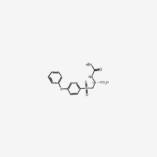 CCCCC(=O)N[C@@H](CS(=O)(=O)c1ccc(Sc2ccccc2)cc1)C(=O)O